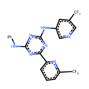 CC(C)Nc1nc(Nc2cncc(C(F)(F)F)c2)nc(-c2cccc(C(F)(F)F)n2)n1